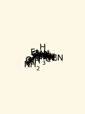 CCc1cc(Nc2nccn3c(-c4cn(CC#N)nc4C(F)(F)F)cnc23)ccc1C(=O)NCCCNC(=O)CCN